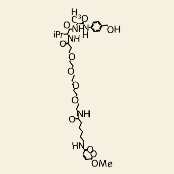 COC(=O)/C=C\C(=O)NCCCCCC(=O)NCCOCCOCCOCCOCCC(=O)NC(C(=O)N[C@@H](C)C(=O)Nc1ccc(CO)cc1)C(C)C